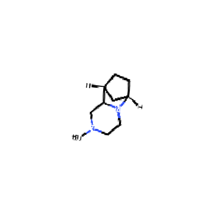 CC(C)(C)N1CCN2C(C1)[C@@H]1CC[C@H]2C1